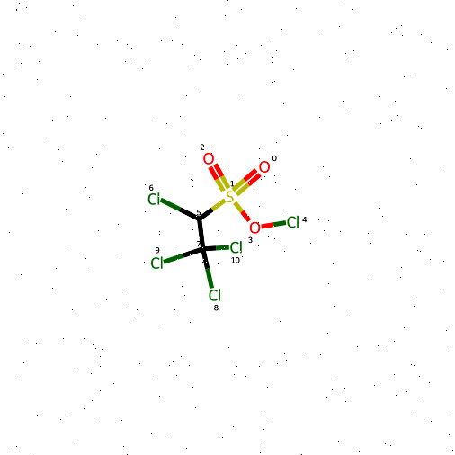 O=S(=O)(OCl)C(Cl)C(Cl)(Cl)Cl